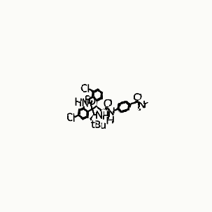 CN(C)C(=O)c1ccc(NC(=O)[C@@H]2N[C@@H](CC(C)(C)C)C3(C(=O)Nc4cc(Cl)ccc43)[C@@H]2c2cccc(Cl)c2F)cc1